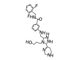 O=C(NCc1c(F)cccc1F)c1cccc(NCC2NNC(C3=NCNCC3)N2CCCO)c1